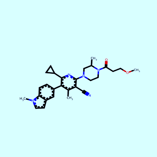 COCCC(=O)N1CCN(c2nc(C3CC3)c(-c3ccc4c(ccn4C)c3)c(C)c2C#N)CC1C